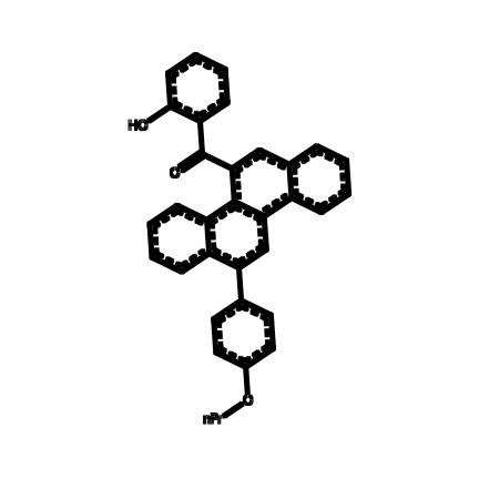 CCCOc1ccc(-c2cc3c4ccccc4cc(C(=O)c4ccccc4O)c3c3ccccc23)cc1